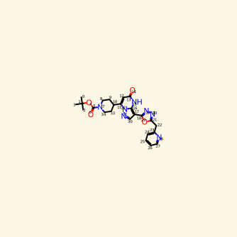 CC(C)(C)OC(=O)N1CCC(c2cc(=O)[nH]c3c(-c4nnc(Cc5ccccn5)o4)cnn23)CC1